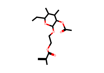 C=C(C)C(=O)OCCOC1OC(CC)C(C)C(C)C1OC(C)=O